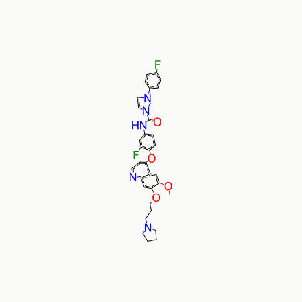 COc1cc2c(Oc3ccc(NC(=O)N4C=CN(c5ccc(F)cc5)C4)cc3F)ccnc2cc1OCCCN1CCCC1